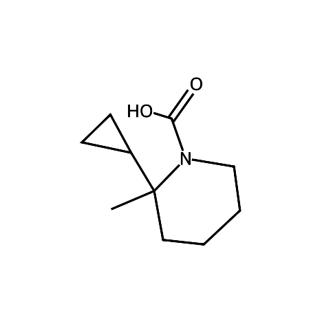 CC1(C2CC2)CCCCN1C(=O)O